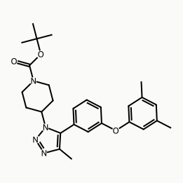 Cc1cc(C)cc(Oc2cccc(-c3c(C)nnn3C3CCN(C(=O)OC(C)(C)C)CC3)c2)c1